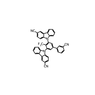 N#Cc1cccc(-c2cc(-n3c4ccccc4c4cc(C#N)ccc43)c(C(F)(F)F)c(-n3c4ccccc4c4cc(C#N)ccc43)c2)c1